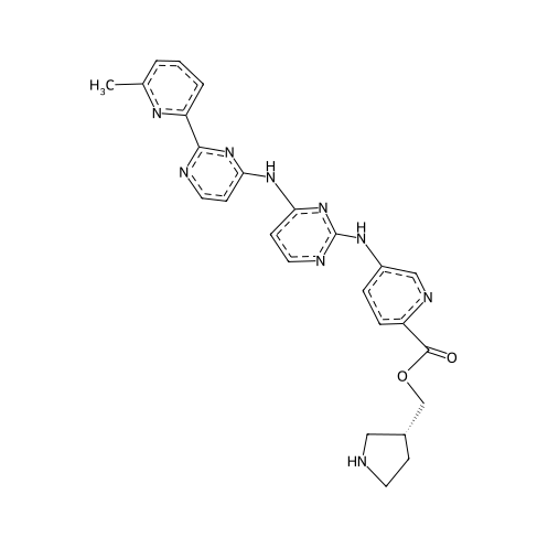 Cc1cccc(-c2nccc(Nc3ccnc(Nc4ccc(C(=O)OC[C@@H]5CCNC5)nc4)n3)n2)n1